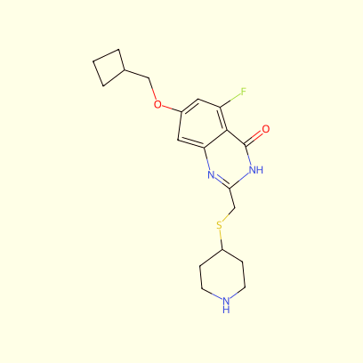 O=c1[nH]c(CSC2CCNCC2)nc2cc(OCC3CCC3)cc(F)c12